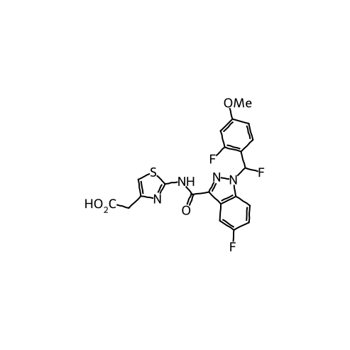 COc1ccc(C(F)n2nc(C(=O)Nc3nc(CC(=O)O)cs3)c3cc(F)ccc32)c(F)c1